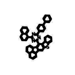 c1ccc(-c2ccc(-c3nc(-c4cccc5ccccc45)nc(-c4c5c(cc6sc7ccccc7c46)-c4cccc6cccc-5c46)n3)cc2)cc1